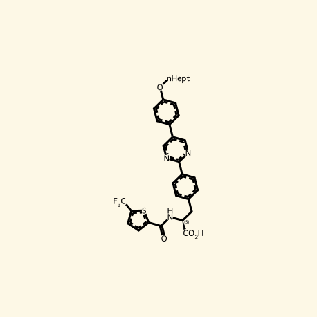 CCCCCCCOc1ccc(-c2cnc(-c3ccc(C[C@H](NC(=O)c4ccc(C(F)(F)F)s4)C(=O)O)cc3)nc2)cc1